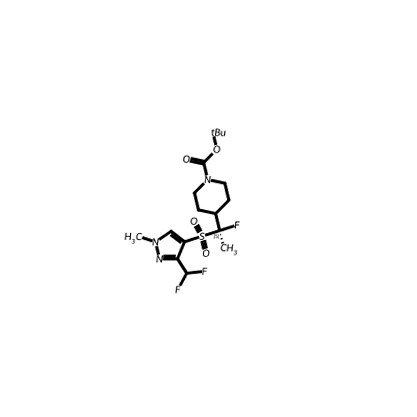 Cn1cc(S(=O)(=O)[C@](C)(F)C2CCN(C(=O)OC(C)(C)C)CC2)c(C(F)F)n1